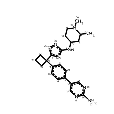 CC1CC(Nc2nc(C3(c4ccc(-c5cnc(N)nc5)cc4)CCC3)no2)CCN1C